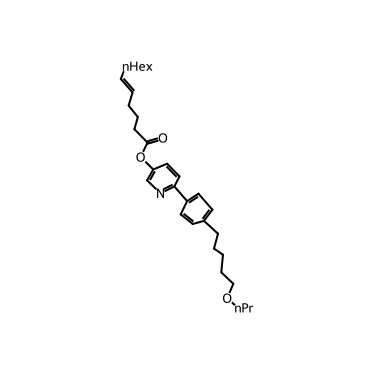 CCCCCCC=CCCCC(=O)Oc1ccc(-c2ccc(CCCCCOCCC)cc2)nc1